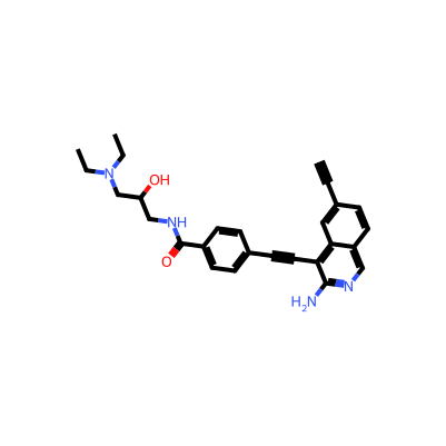 C#Cc1ccc2cnc(N)c(C#Cc3ccc(C(=O)NCC(O)CN(CC)CC)cc3)c2c1